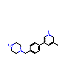 CC1=CC(c2ccc(CN3CCNCC3)cc2)=CNC1